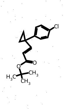 CC(C)(C)OC(=O)/C=C/C1(c2ccc(Cl)cc2)CC1